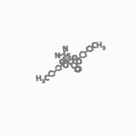 CC1CCC(C2CCC(C(=O)Oc3c4c(c(OC(=O)C5CCC(C6CCC(C)CC6)CC5)c5c3C3c6ccccc6C5c5ccccc53)SC(=C(C#N)C#N)S4)CC2)CC1